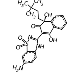 CC(C)(C)CC[C@@]1(C)C(=O)C(C2=NS(=O)(=O)c3cc(N)ccc3N2)=C(O)c2ccccc21